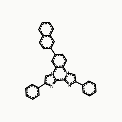 c1ccc(-c2cn3c4ccc(-c5ccc6ccccc6c5)cc4n4cc(-c5ccccc5)nc4c3n2)cc1